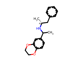 CC(N[C@H](C)Cc1ccccc1)c1ccc2c(c1)OCCO2